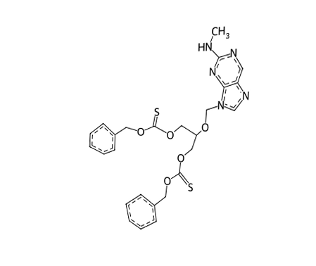 CNc1ncc2ncn(COC(COC(=S)OCc3ccccc3)COC(=S)OCc3ccccc3)c2n1